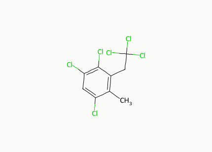 Cc1c(Cl)cc(Cl)c(Cl)c1CC(Cl)(Cl)Cl